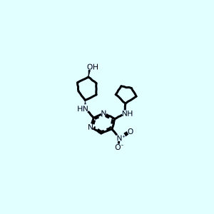 O=[N+]([O-])c1cnc(N[C@H]2CC[C@H](O)CC2)nc1NC1CCCC1